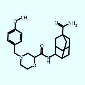 COc1ccc(CN2CCOC(C(=O)NC3C4CC5CC3CC(C(N)=O)(C5)C4)C2)cc1